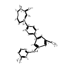 Cc1cc(Nc2nccc(C(F)(F)F)n2)cc(-c2ccc(N3CCCNC(=O)C3)nc2)c1